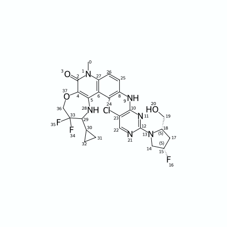 Cn1c(=O)c2c(c3cc(Nc4nc(N5C[C@@H](F)C[C@H]5CO)ncc4Cl)ccc31)NC(C1CC1)C(F)(F)CO2